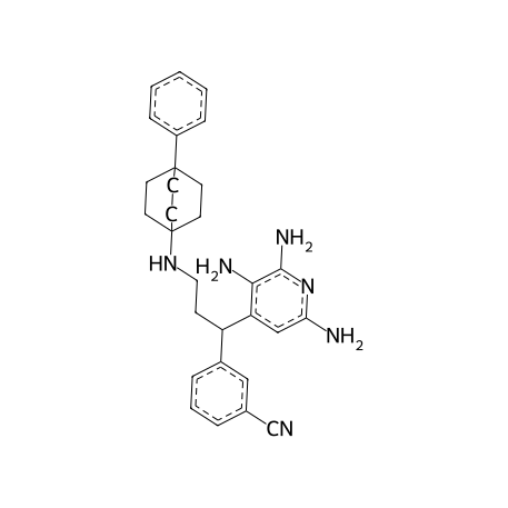 N#Cc1cccc(C(CCNC23CCC(c4ccccc4)(CC2)CC3)c2cc(N)nc(N)c2N)c1